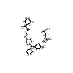 O=C(NCCCN1CCN(C(c2ccccc2)c2ccc(Cl)cc2)CC1)c1ccccc1.O=C(O)/C=C/C(=O)O